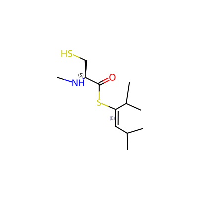 CN[C@@H](CS)C(=O)S/C(=C/C(C)C)C(C)C